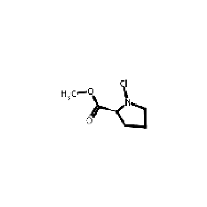 COC(=O)[C@@H]1CCCN1Cl